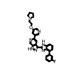 Fc1cccc(-c2cccc3[nH]c(-c4n[nH]c5cnc(-c6cncc(OCCN7CCCC7)c6)cc45)nc23)c1